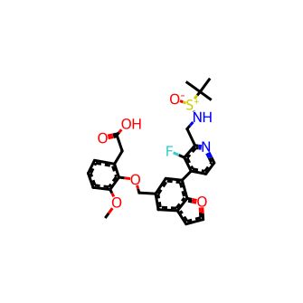 COc1cccc(CC(=O)O)c1OCc1cc(-c2ccnc(CN[S+]([O-])C(C)(C)C)c2F)c2occc2c1